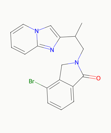 CC(CN1Cc2c(Br)cccc2C1=O)c1cn2ccccc2n1